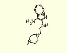 CN1CCN(CCNc2nn3ccccc3c2N)CC1